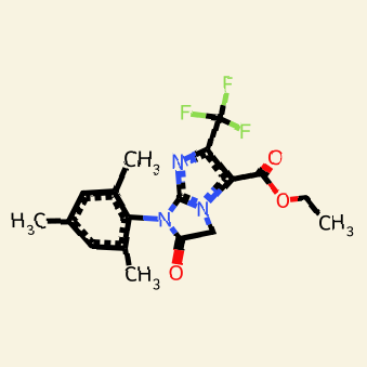 CCOC(=O)c1c(C(F)(F)F)nc2n1CC(=O)N2c1c(C)cc(C)cc1C